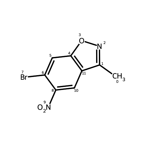 Cc1noc2cc(Br)c([N+](=O)[O-])cc12